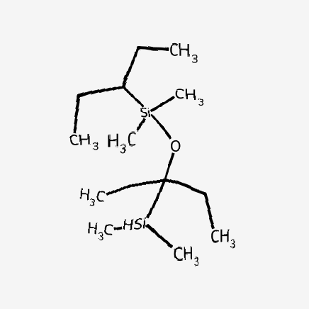 CCC(CC)[Si](C)(C)OC(CC)(CC)[SiH](C)C